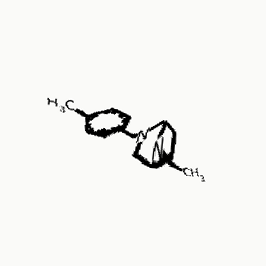 Cc1ccc(N2CC3CCC2CN3C)cc1